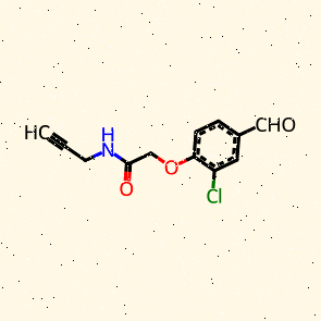 C#CCNC(=O)COc1ccc(C=O)cc1Cl